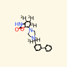 [2H]c1c([2H])c(N2CCN(C([2H])([2H])c3cccc(-c4ccccc4)c3)CC2)c2oc(=O)[nH]c2c1[2H]